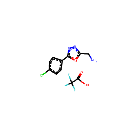 NCc1nnc(-c2ccc(Cl)cc2)o1.O=C(O)C(F)(F)F